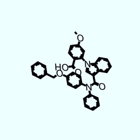 COc1ccc(C(=O)O)c(-n2cc(C(=O)N(c3ccccc3)c3ccc(OCc4ccccc4)cc3)c3ccccc32)c1